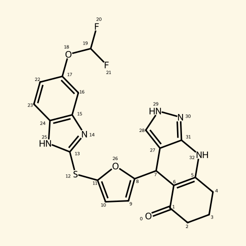 O=C1CCCC2=C1C(c1ccc(Sc3nc4cc(OC(F)F)ccc4[nH]3)o1)c1c[nH]nc1N2